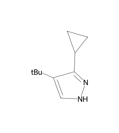 CC(C)(C)c1c[nH]nc1C1CC1